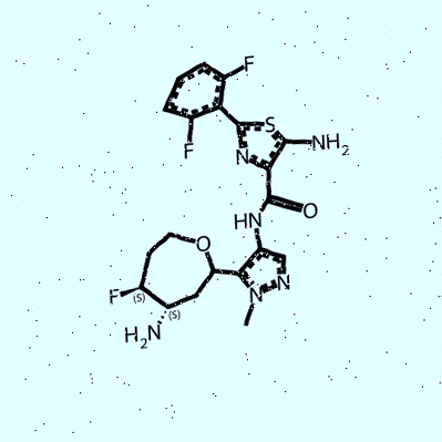 Cn1ncc(NC(=O)c2nc(-c3c(F)cccc3F)sc2N)c1C1C[C@H](N)[C@@H](F)CCO1